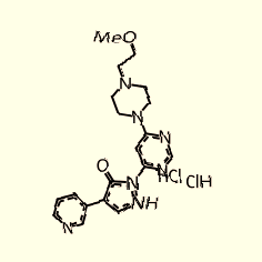 COCCN1CCN(c2cc(-n3[nH]cc(-c4cccnc4)c3=O)ncn2)CC1.Cl.Cl